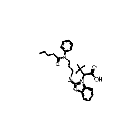 CCCCC(=O)N(CCCSc1nc2ccccc2n1C(C(=O)O)C(C)(C)C)c1ccccc1